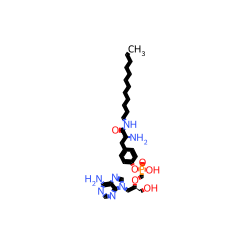 CCCCCCCCCCCCNC(=O)[C@@H](N)Cc1ccc(OP(=O)(O)CO[C@H](CO)Cn2cnc3c(N)ncnc32)cc1